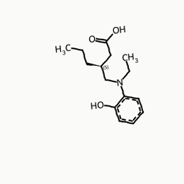 CCC[C@@H](CC(=O)O)CN(CC)c1ccccc1O